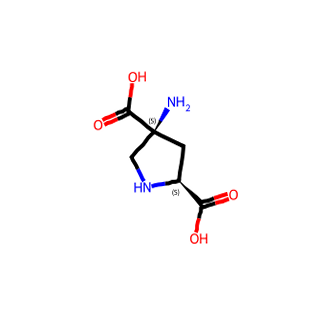 N[C@]1(C(=O)O)CN[C@H](C(=O)O)C1